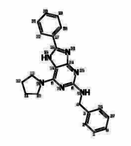 c1ccc(CNc2nc(N3CCCC3)c3[nH]c(-c4ccccc4)nc3n2)cc1